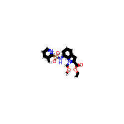 CCOC(=O)c1cc2cccc(NS(=O)(=O)c3ncccc3C)c2n1COC